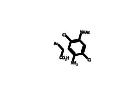 CC(=O)CC(=O)O.CC(=O)Nc1cc(Cl)c(N)cc1Cl